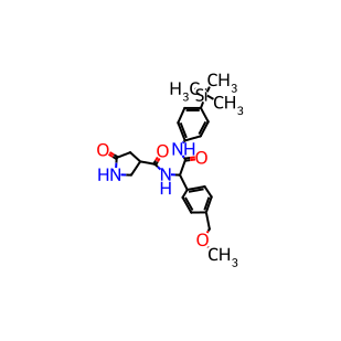 COCc1ccc(C(NC(=O)C2CNC(=O)C2)C(=O)Nc2ccc([Si](C)(C)C)cc2)cc1